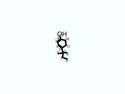 CCC(C)(C)C1=CC=C(O)CC1